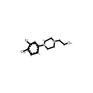 Fc1cc(N2CCN(CCCl)CC2)ccc1Cl